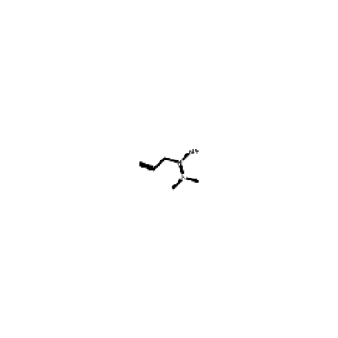 C=CCN(CCC)N(C)C